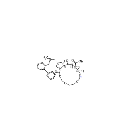 CN(Cc1ccccc1-c1ccccc1)C[C@@H]1C[C@H]2C(=O)N[C@]3(C(=O)O)C[C@H]3/C=C\CCCCCCC(=O)N2C1